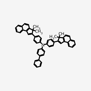 CC1(C)C(c2ccc(N(c3ccc(C4=Cc5c(ccc6ccccc56)C4(C)C)cc3)c3ccc(-c4ccccc4)cc3)cc2)=Cc2c1ccc1ccccc21